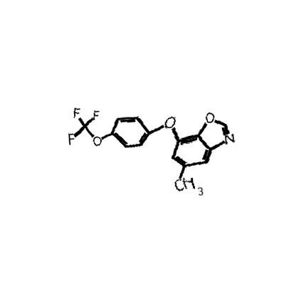 Cc1cc(Oc2ccc(OC(F)(F)F)cc2)c2ocnc2c1